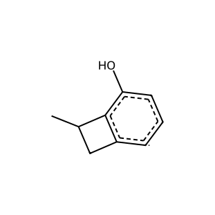 CC1Cc2[c]ccc(O)c21